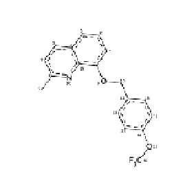 Cc1ccc2cccc(OCc3ccc(OC(F)(F)F)cc3)c2n1